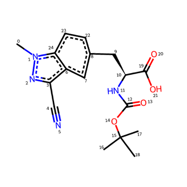 Cn1nc(C#N)c2cc(C[C@H](NC(=O)OC(C)(C)C)C(=O)O)ccc21